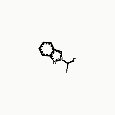 FC(F)n1cc2c[c]ccc2n1